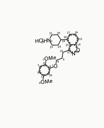 COc1ccc(OC)c(OCCCc2noc3cccc(C4CCNCC4)c23)c1.Cl